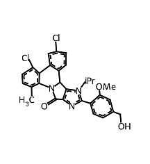 COc1cc(CO)ccc1-c1nc2c(n1C(C)C)C1c3ccc(Cl)cc3-c3c(Cl)ccc(C)c3N1C2=O